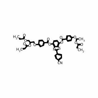 C=CC(=O)OCC(COc1ccc(C(=O)Oc2ccc(OC(=O)c3ccc(OC(C)OC(=O)C=C)cc3)c3sc(-c4ccc(C#N)cc4)nc23)cc1)OC(=O)C=C